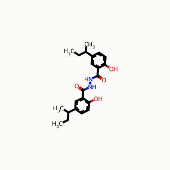 CCC(C)c1ccc(O)c(C(=O)NNC(=O)c2cc(C(C)CC)ccc2O)c1